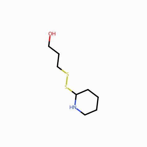 OCCCSSC1CCCCN1